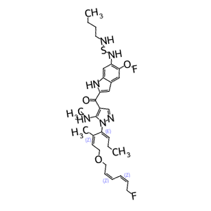 CC/C=C(\C(C)=C/COC/C=C\C=C/CF)n1ncc(C(=O)c2cc3cc(OF)c(NSNCCCC)cc3[nH]2)c1NC